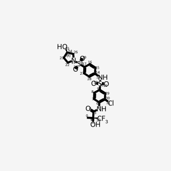 C[C@@](O)(C(=O)Nc1ccc(S(=O)(=O)Nc2ccc(S(=O)(=O)N3CC[C@@H](O)C3)cc2)cc1Cl)C(F)(F)F